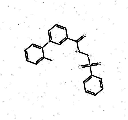 O=C(NNS(=O)(=O)c1ccccc1)c1cccc(-c2ccccc2F)c1